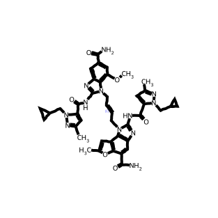 COc1cc(C(N)=O)cc2nc(NC(=O)c3cc(C)nn3CC3CC3)n(C/C=C/Cn3c(NC(=O)c4cc(C)nn4CC4CC4)nc4cc(C(N)=O)c5oc(C)cc5c43)c12